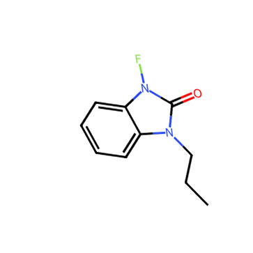 CCCn1c(=O)n(F)c2ccccc21